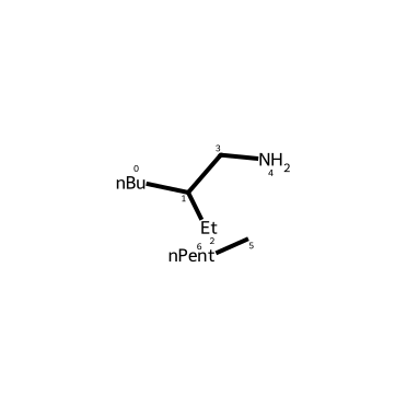 CCCCC(CC)CN.CCCCCC